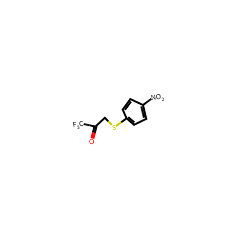 O=C(CSc1ccc([N+](=O)[O-])cc1)C(F)(F)F